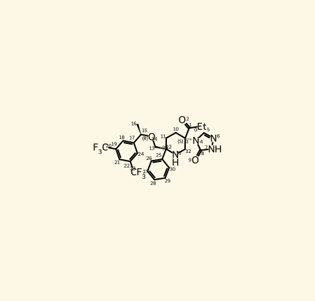 CCC(=O)[C@]1(n2cn[nH]c2=O)CC[C@@](CO[C@H](C)c2cc(C(F)(F)F)cc(C(F)(F)F)c2)(c2ccccc2)NC1